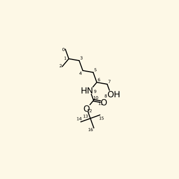 CC(C)CCCC(CO)NC(=O)OC(C)(C)C